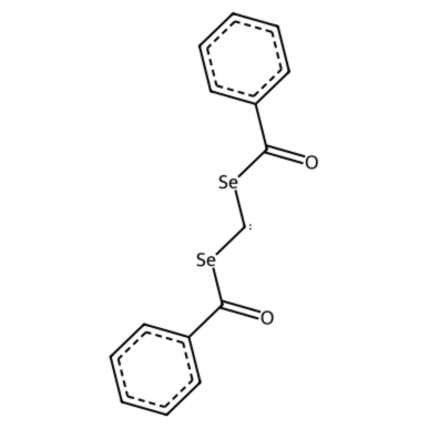 O=C([Se][C][Se]C(=O)c1ccccc1)c1ccccc1